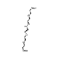 COCCOCCOP=NPOCCOCCOC